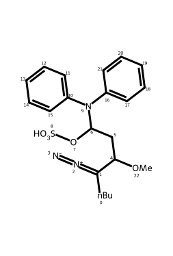 CCCCC(=[N+]=[N-])C(CC(OS(=O)(=O)O)N(c1ccccc1)c1ccccc1)OC